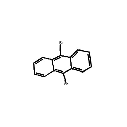 Brc1c2c[c]ccc2c(Br)c2ccccc12